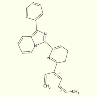 C=C/C(=C\C=C/C)C1=NC(c2nc(-c3ccccc3)c3ccccn23)=CCC1